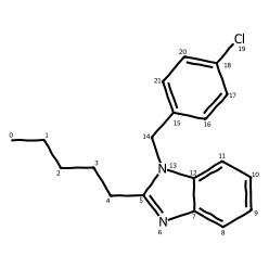 CCCCCc1nc2ccccc2n1Cc1ccc(Cl)cc1